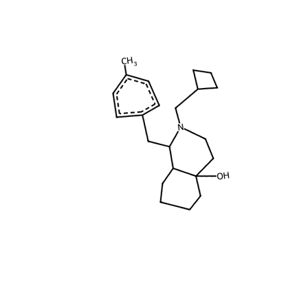 Cc1ccc(CC2C3CCCCC3(O)CCN2CC2CCC2)cc1